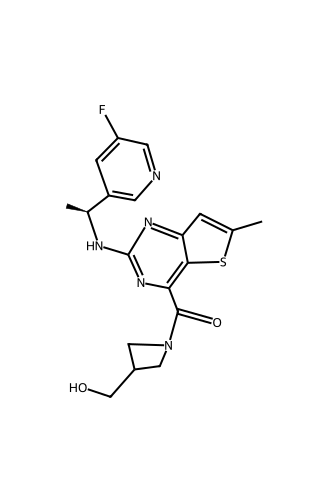 Cc1cc2nc(N[C@@H](C)c3cncc(F)c3)nc(C(=O)N3CC(CO)C3)c2s1